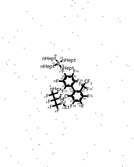 CCCCCCC(F)(F)C(F)(F)C(F)(F)[PH2+]CC.CCCCCCC[B-](CCCCCCC)(CCCCCCC)CCCCCCC.Fc1c(F)c(F)c(-c2c(C(F)(F)F)c(F)c(F)c(F)c2C(F)(F)C(F)(F)F)c(F)c1F